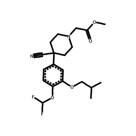 COC(=O)CN1CCC(C#N)(c2ccc(OC(F)F)c(OCC(C)C)c2)CC1